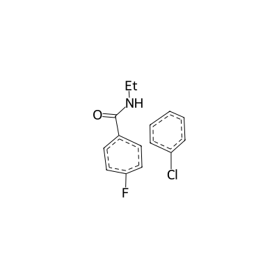 CCNC(=O)c1ccc(F)cc1.Clc1ccccc1